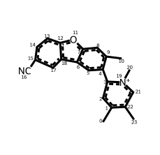 Cc1cc(-c2cc3c(cc2C)oc2ccc(C#N)cc23)[n+](C)cc1C